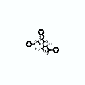 CC(C)[C@H](NC(=O)C(Cc1ccccc1)NC(=O)OCc1ccccc1)C(O)c1c(-c2ccccc2)c1=O